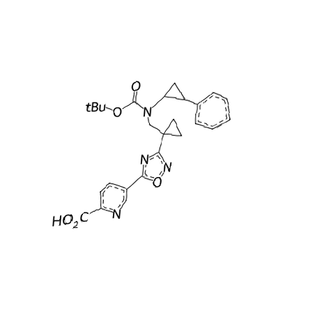 CC(C)(C)OC(=O)N(CC1(c2noc(-c3ccc(C(=O)O)nc3)n2)CC1)C1CC1c1ccccc1